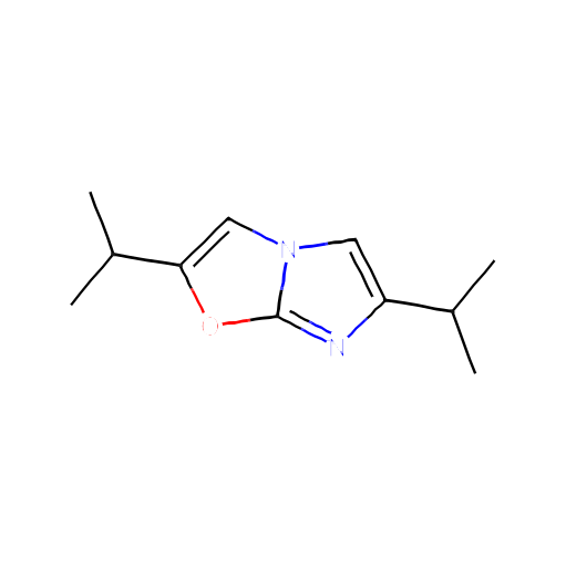 CC(C)c1cn2cc(C(C)C)oc2n1